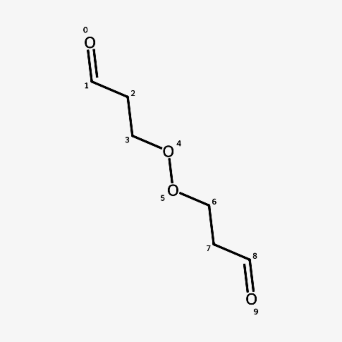 O=CCCOOCCC=O